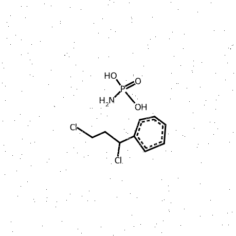 ClCCC(Cl)c1ccccc1.NP(=O)(O)O